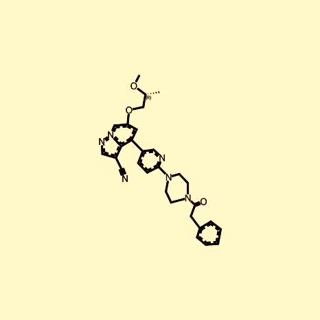 CO[C@H](C)COc1cc(-c2ccc(N3CCN(C(=O)Cc4ccccc4)CC3)nc2)c2c(C#N)cnn2c1